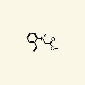 C=Cc1ccccc1N(C)CC(=O)OC